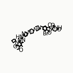 CC(=O)c1c(C)c2cnc(Nc3ccc(N4CCC(N5CCN(Cc6cc(Br)c7c(c6)C(=O)N(C6CCC(=O)NC6=O)C7=O)CC5)CC4)cn3)nc2n(C2CCCC2)c1=O